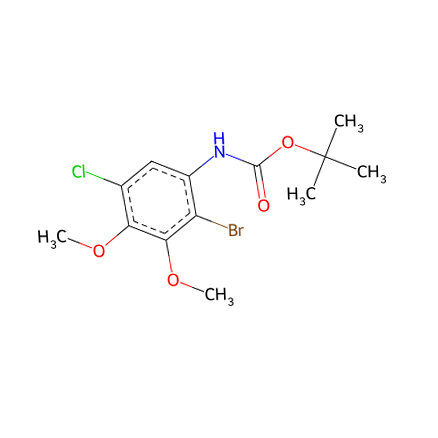 COc1c(Cl)cc(NC(=O)OC(C)(C)C)c(Br)c1OC